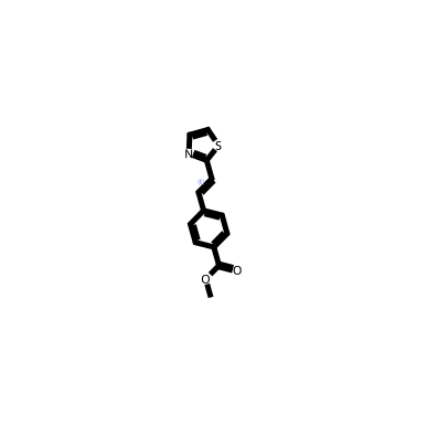 COC(=O)c1ccc(/C=C/c2nccs2)cc1